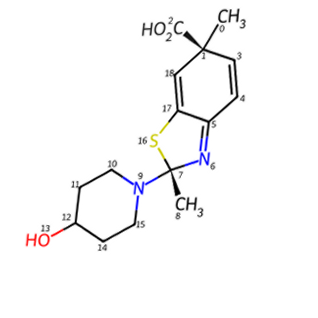 C[C@]1(C(=O)O)C=CC2=N[C@](C)(N3CCC(O)CC3)SC2=C1